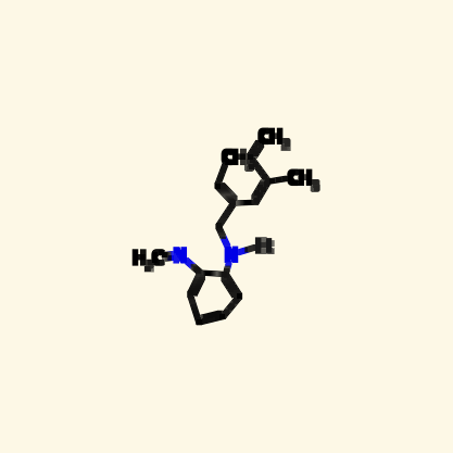 C=C/C(C)=C\C(=C/C)CN(CC)c1ccccc1N=C